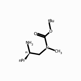 CCC[C@@H](N)CN(C)C(=O)OC(C)(C)C